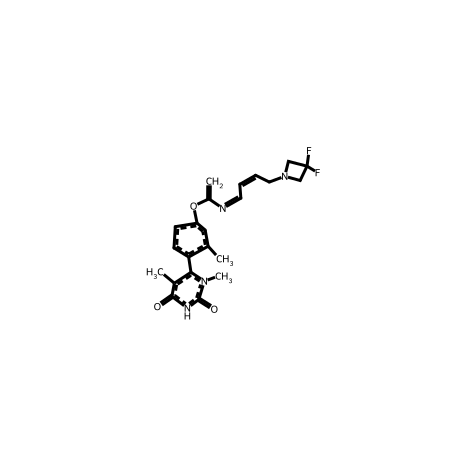 C=C(/N=C\C=C/CN1CC(F)(F)C1)Oc1ccc(-c2c(C)c(=O)[nH]c(=O)n2C)c(C)c1